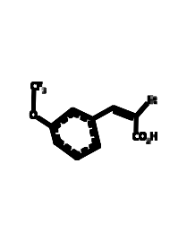 CCC(=Cc1cccc(OC(F)(F)F)c1)C(=O)O